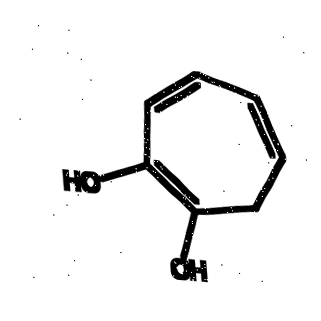 OC1=C(O)CC=CC=C1